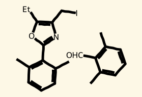 CCc1oc(-c2c(C)cccc2C)nc1CI.Cc1cccc(C)c1C=O